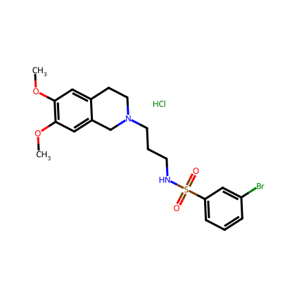 COc1cc2c(cc1OC)CN(CCCNS(=O)(=O)c1cccc(Br)c1)CC2.Cl